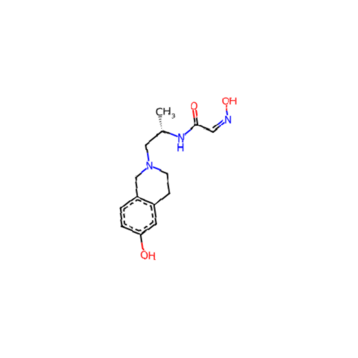 C[C@@H](CN1CCc2cc(O)ccc2C1)NC(=O)/C=N\O